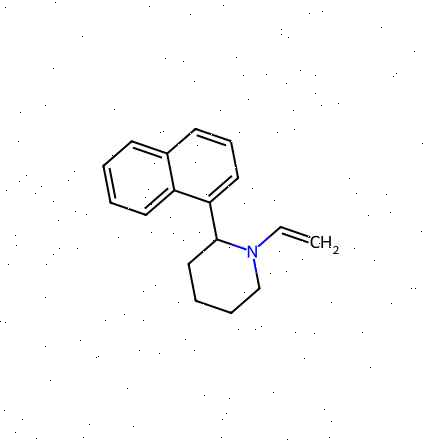 C=CN1CCCCC1c1cccc2ccccc12